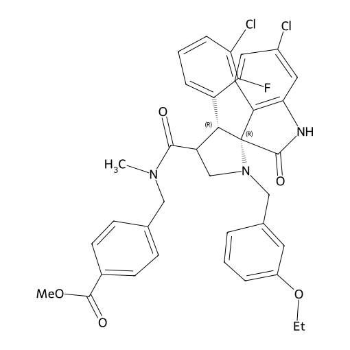 CCOc1cccc(CN2CC(C(=O)N(C)Cc3ccc(C(=O)OC)cc3)[C@H](c3cccc(Cl)c3F)[C@@]23C(=O)Nc2cc(Cl)ccc23)c1